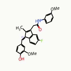 COc1cccc(NC(=O)CC2=C(C)/C(=C/c3ccc(O)c(OC)c3)c3ccc(F)cc32)c1